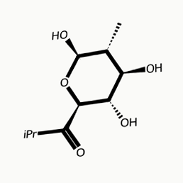 CC(C)C(=O)[C@H]1O[C@@H](O)[C@H](C)[C@@H](O)[C@@H]1O